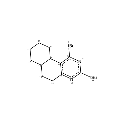 CC(C)(C)c1nc2c(c(C(C)(C)C)n1)C1CCCCC1CC2